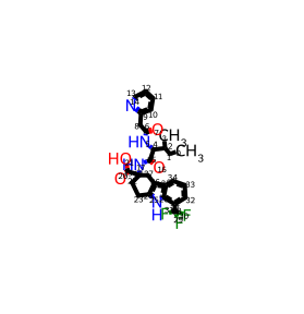 CCC(C)C(NC(=O)Cc1ccccn1)C(=O)NC1(C(=O)O)CCc2[nH]c3c(C(F)(F)F)cccc3c2C1